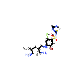 COC(CN)C[C@@H](CNc1cc(F)c(S(=O)(=O)Nc2ncns2)cc1Br)[C@@H](C)N